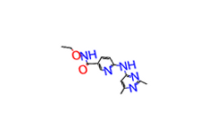 CCONC(=O)c1ccc(Nc2cc(C)nc(C)n2)nc1